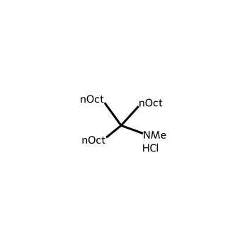 CCCCCCCCC(CCCCCCCC)(CCCCCCCC)NC.Cl